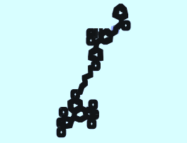 O=C1CC(C2CC3C(=O)OC(=O)C3c3cc(OCCCCCCOc4ccc(C(OO)c5ccc(/C=C/C(=O)c6ccccc6)cc5)cc4)ccc32)C(=O)O1